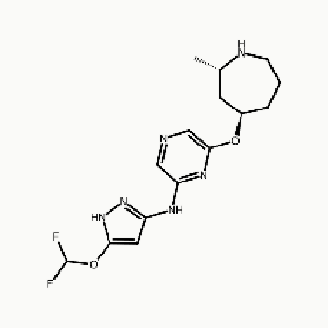 C[C@H]1C[C@H](Oc2cncc(Nc3cc(OC(F)F)[nH]n3)n2)CCCN1